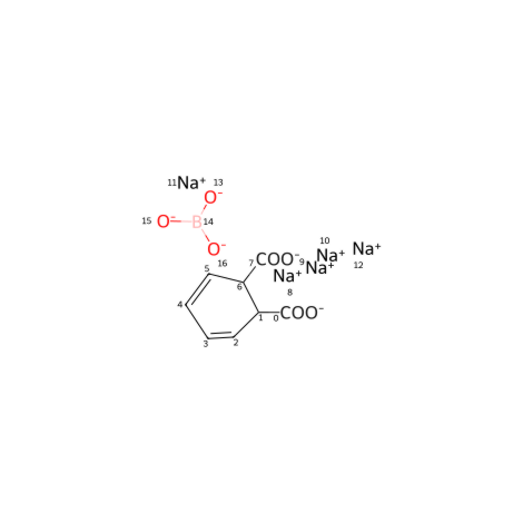 O=C([O-])C1C=CC=CC1C(=O)[O-].[Na+].[Na+].[Na+].[Na+].[Na+].[O-]B([O-])[O-]